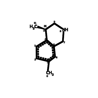 Cc1ccc2c(c1)CNC[C@@H]2C